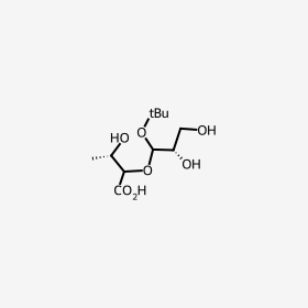 C[C@H](O)C(OC(OC(C)(C)C)[C@@H](O)CO)C(=O)O